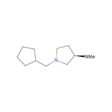 CN[C@@H]1CCN(CC2CCCC2)C1